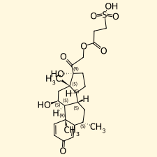 C[C@H]1C[C@@H]2[C@H]([C@@H](O)C[C@@]3(C)[C@H]2CC[C@]3(O)C(=O)COC(=O)CCS(=O)(=O)O)[C@@]2(C)C=CC(=O)C=C12